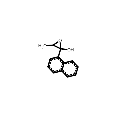 [CH2]C1OC1(O)c1cccc2ccccc12